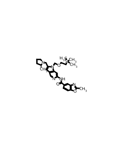 Cc1nc2cc(C(=O)Nc3cc4c(cn3)cc(CN3CCC[C@@H]3C)n4COCC[Si](C)(C)C)ccc2o1